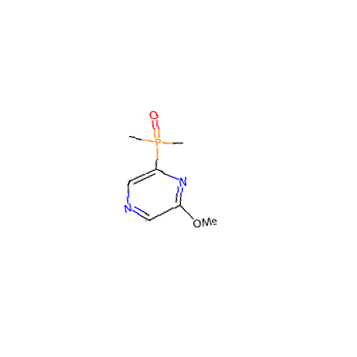 COc1[c]ncc(P(C)(C)=O)n1